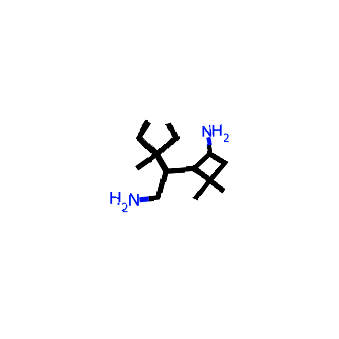 CCC(C)(CC)C(CN)C1C(N)CC1(C)C